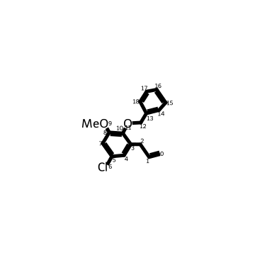 C=CCc1cc(Cl)cc(OC)c1OCc1ccccc1